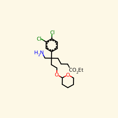 CCOC(=O)CCCC(CN)(CCOC1CCCCO1)c1ccc(Cl)c(Cl)c1